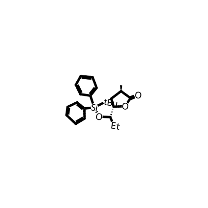 CCC(O[Si](c1ccccc1)(c1ccccc1)C(C)(C)C)[C@@H]1C[C@@H](C)C(=O)O1